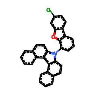 Clc1ccc2c(c1)oc1c(-n3c4ccc5ccccc5c4c4c5ccccc5ccc43)cccc12